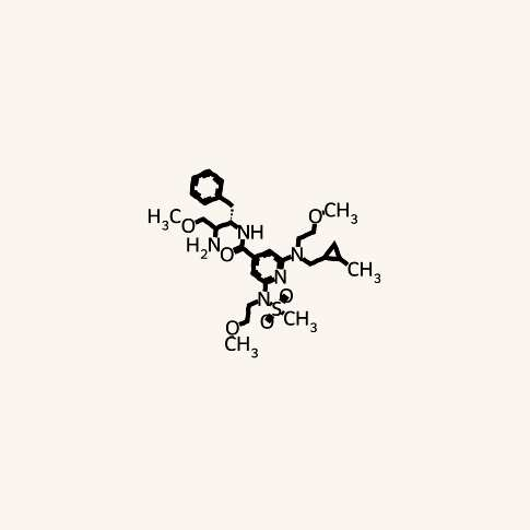 COCCN(CC1CC1C)c1cc(C(=O)N[C@@H](Cc2ccccc2)C(N)COC)cc(N(CCOC)S(C)(=O)=O)n1